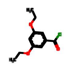 CCOc1cc(OCC)cc(C(=O)Cl)c1